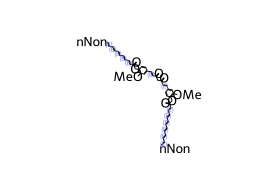 CCCCCCCCC/C=C/C=C/C=C/C=C/C=C/C=C/C(=O)Oc1ccc(/C=C/C(=O)CC(=O)/C=C/c2ccc(OC(=O)/C=C/C=C/C=C/C=C/C=C/CCCCCCCCC)c(OC)c2)cc1OC